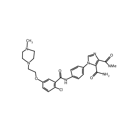 CNC(=O)c1ncn(-c2ccc(NC(=O)c3cc(OCCN4CCN(C)CC4)ccc3Cl)cc2)c1C(N)=O